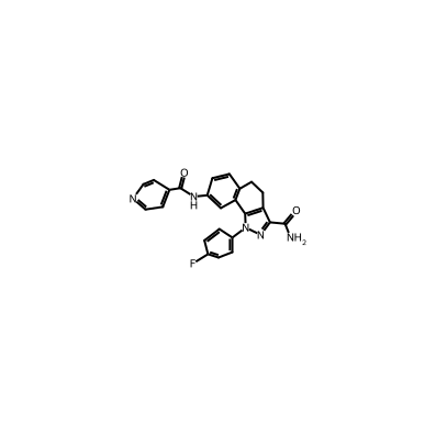 NC(=O)c1nn(-c2ccc(F)cc2)c2c1CCc1ccc(NC(=O)c3ccncc3)cc1-2